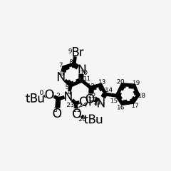 CC(C)(C)OC(=O)N(c1ncc(Br)nc1-c1cc(-c2ccccc2)no1)C(O)OC(C)(C)C